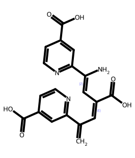 C=C(/C=C(\C=C(/N)c1cc(C(=O)O)ccn1)C(=O)O)c1cc(C(=O)O)ccn1